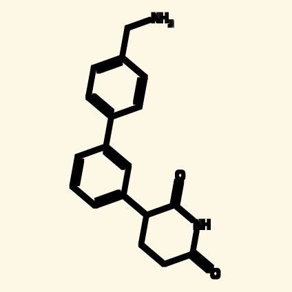 NCc1ccc(-c2cccc(C3CCC(=O)NC3=O)c2)cc1